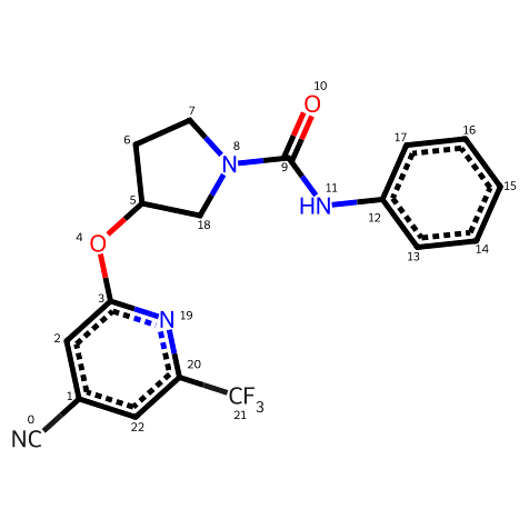 N#Cc1cc(OC2CCN(C(=O)Nc3ccccc3)C2)nc(C(F)(F)F)c1